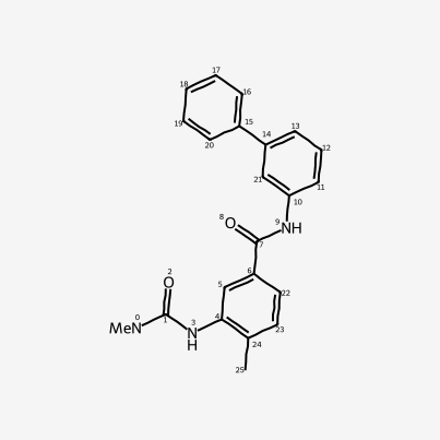 CNC(=O)Nc1cc(C(=O)Nc2cccc(-c3ccccc3)c2)ccc1C